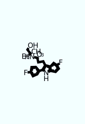 CCC(C)(CO)NC(=O)CCc1c(-c2ccc(F)cc2)[nH]c2ccc(F)cc12